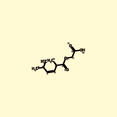 CC(C)/C=C\C(C)C(=O)OCC(=O)O